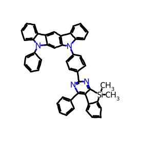 C[Si]1(C)c2ccccc2-c2c(-c3ccccc3)nc(-c3ccc(-n4c5ccccc5c5cc6c7ccccc7n(-c7ccccc7)c6cc54)cc3)nc21